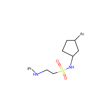 CC(=O)C1CCC(NS(=O)(=O)CCNC(C)C)C1